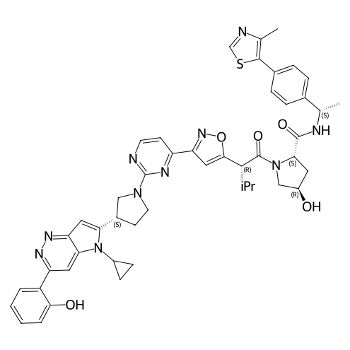 Cc1ncsc1-c1ccc([C@H](C)NC(=O)[C@@H]2C[C@@H](O)CN2C(=O)[C@@H](c2cc(-c3ccnc(N4CC[C@H](c5cc6nnc(-c7ccccc7O)cc6n5C5CC5)C4)n3)no2)C(C)C)cc1